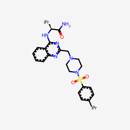 CC(C)c1ccc(S(=O)(=O)N2CCN(Cc3nc(N[C@H](C(N)=O)C(C)C)c4ccccc4n3)CC2)cc1